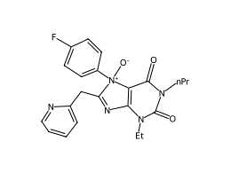 CCCn1c(=O)c2c(n(CC)c1=O)N=C(Cc1ccccn1)[N+]2([O-])c1ccc(F)cc1